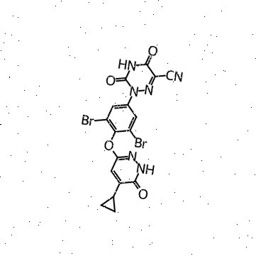 N#Cc1nn(-c2cc(Br)c(Oc3cc(C4CC4)c(=O)[nH]n3)c(Br)c2)c(=O)[nH]c1=O